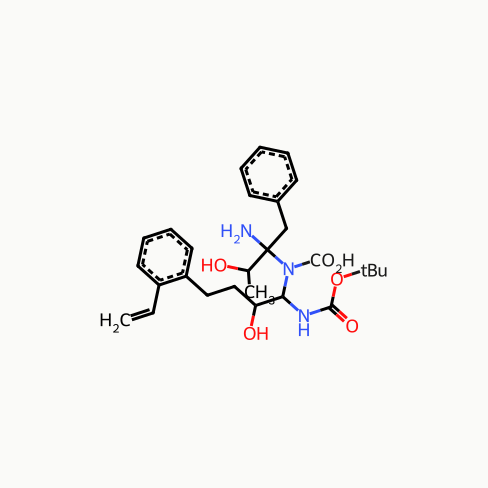 C=Cc1ccccc1CCC(O)C(NC(=O)OC(C)(C)C)N(C(=O)O)C(N)(Cc1ccccc1)C(C)O